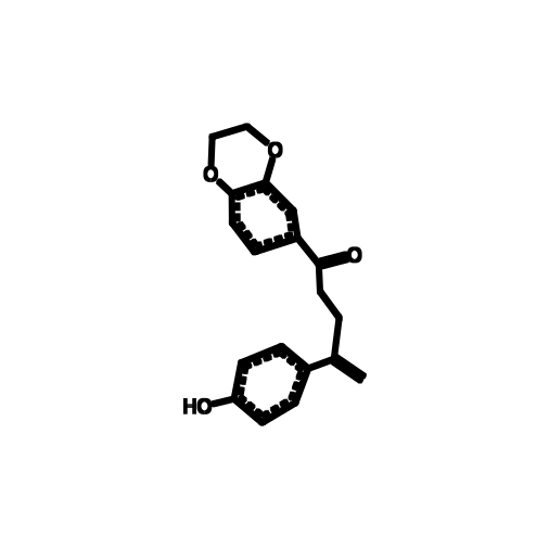 C=C(CCC(=O)c1ccc2c(c1)OCCO2)c1ccc(O)cc1